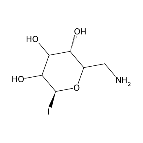 NCC1O[C@@H](I)C(O)C(O)[C@@H]1O